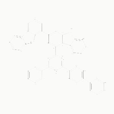 C1=C(c2cccc3c2oc2ccccc23)C=C(c2nc(-c3ccccc3)nc(-c3ccc(-c4ccccc4)cc3)n2)C2c3ccccc3OC12